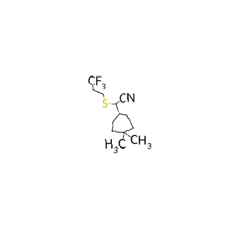 CC1(C)CCC(C(C#N)SCCC(F)(F)F)CC1